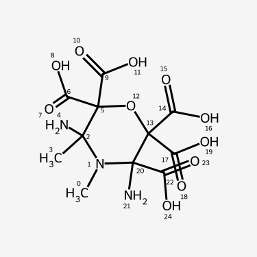 CN1C(C)(N)C(C(=O)O)(C(=O)O)OC(C(=O)O)(C(=O)O)C1(N)C(=O)O